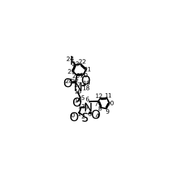 O=C1SC(=O)N(Cc2ccccc2)C1OCCN1COc2ccc(I)cc2C1=O